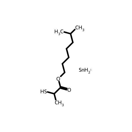 CC(C)CCCCCOC(=O)C(C)S.[SnH2]